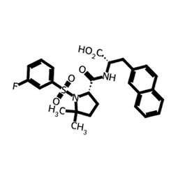 CC1(C)CC[C@@H](C(=O)N[C@@H](Cc2ccc3ccccc3c2)C(=O)O)N1S(=O)(=O)c1cccc(F)c1